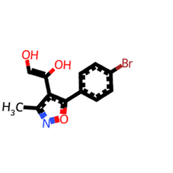 Cc1noc(-c2ccc(Br)cc2)c1/C(O)=C/O